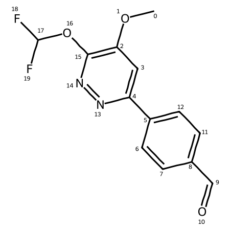 COc1cc(-c2ccc(C=O)cc2)nnc1OC(F)F